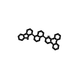 c1ccc2c(c1)sc1c(-c3cccc4c(-c5ccc6c7ccccc7c7ccccc7c6n5)cccc34)cccc12